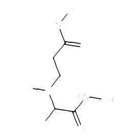 CCC(C(=O)NO)[S+]([O-])CCC(=O)NO